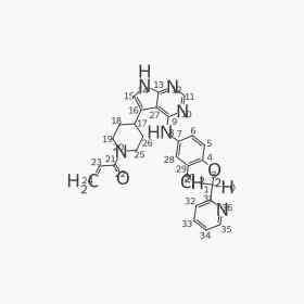 [2H]C([2H])(Oc1ccc(Nc2ncnc3[nH]cc(C4CCN(C(=O)C=C)CC4)c23)cc1Cl)c1ccccn1